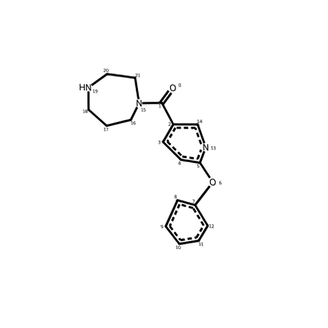 O=C(c1ccc(Oc2ccccc2)nc1)N1CCCNCC1